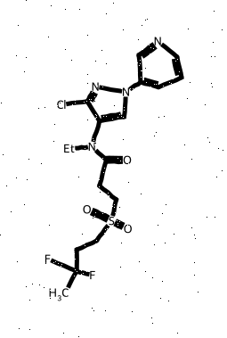 CCN(C(=O)CCS(=O)(=O)CCC(C)(F)F)c1cn(-c2cccnc2)nc1Cl